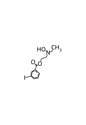 CCN(O)CCOC(=O)c1cccc(I)c1